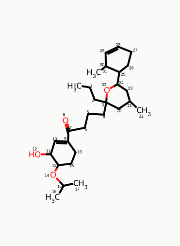 CCCC1(CCCC(=O)C2=CC(O)C(OC(C)C)CC2)CC(C)CC(C2CCC=CC2C)O1